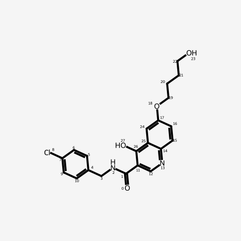 O=C(NCc1ccc(Cl)cc1)c1cnc2ccc(OCCCCO)cc2c1O